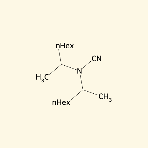 CCCCCCC(C)N(C#N)C(C)CCCCCC